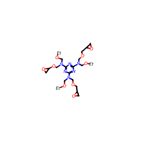 CCOCN(COCC1CO1)c1nc(N(COCC)COCC2CO2)nc(N(COCC)COC2CO2)n1